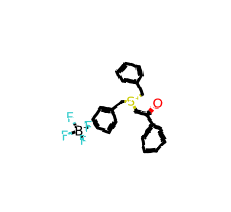 F[B-](F)(F)F.O=C(C[S+](Cc1ccccc1)Cc1ccccc1)c1ccccc1